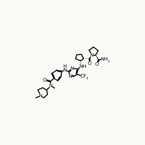 CN1CCC(N(C)C(=O)c2ccc(Nc3ncc(C(F)(F)F)c(N[C@@H]4CCC[C@@H]4C(=O)N4CCC[C@H]4C(N)=O)n3)cc2)CC1